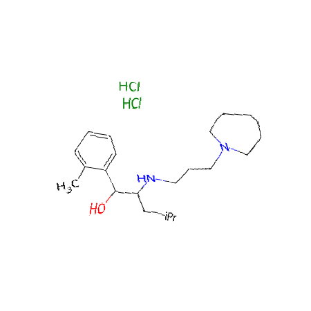 Cc1ccccc1C(O)C(CC(C)C)NCCCN1CCCCC1.Cl.Cl